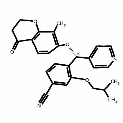 Cc1c(O[C@H](c2ccncc2)c2ccc(C#N)cc2OCC(C)C)ccc2c1OCCC2=O